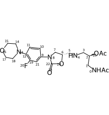 CC(=O)NC[C@@H](CNC[C@H]1CN(c2ccc(N3CCOCC3)c(F)c2)C(=O)O1)OC(C)=O